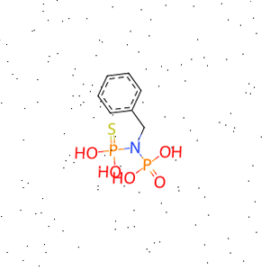 O=P(O)(O)N(Cc1ccccc1)P(O)(O)=S